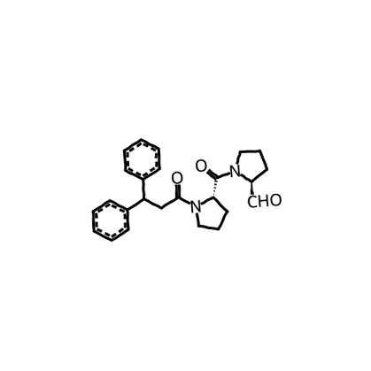 O=C[C@@H]1CCCN1C(=O)[C@@H]1CCCN1C(=O)CC(c1ccccc1)c1ccccc1